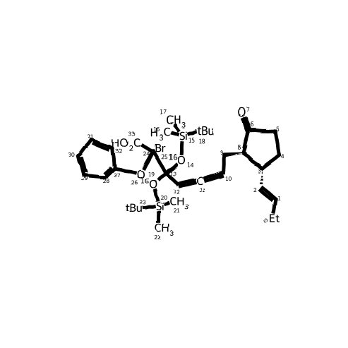 CC/C=C/[C@H]1CCC(=O)[C@@H]1CC=C=CC([16O][Si](C)(C)C(C)(C)C)([16O][Si](C)(C)C(C)(C)C)C(Br)(Oc1ccccc1)C(=O)O